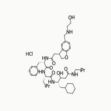 CC(C)CNC(=O)CC(O)[C@H](CC1CCCCC1)NC(=O)[C@H](CC(C)C)NC(=O)[C@H](Cc1ccccc1)NC(=O)CC1COc2ccc(CNCCO)cc21.Cl